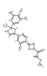 O=C(NCC(F)(F)F)C1CN(c2ccc(C3=NOC(c4cc(Cl)c(Cl)c(Cl)c4)(C(F)(F)F)C3)cc2Cl)C1